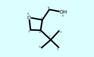 CC(C)(C)C1COC1CO